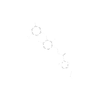 Nc1cc(Cl)cc(Oc2c(Cl)ccc(CNC(=O)c3nc(CCO)c[nH]3)c2F)c1